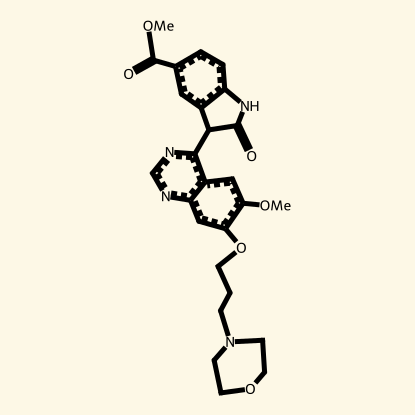 COC(=O)c1ccc2c(c1)C(c1ncnc3cc(OCCCN4CCOCC4)c(OC)cc13)C(=O)N2